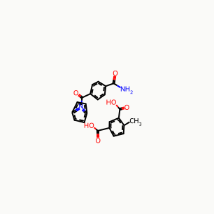 Cc1ccc(C(=O)O)cc1C(=O)O.NC(=O)c1ccc(C(=O)n2c3ccc2cc3)cc1